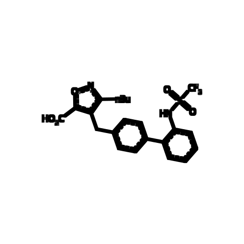 CCCCc1noc(C(=O)O)c1Cc1ccc(-c2ccccc2NS(=O)(=O)C(F)(F)F)cc1